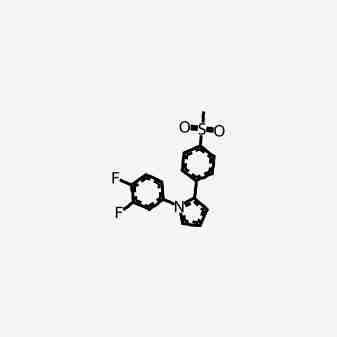 CS(=O)(=O)c1ccc(-c2cccn2-c2ccc(F)c(F)c2)cc1